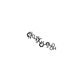 Cc1nc(COc2ncccn2)sc1-c1cccc(-c2ccc(C(=O)O)s2)n1